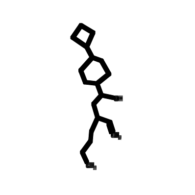 C=CC(CCCC)CC(O)C1CCC(C2CCC2)CC1